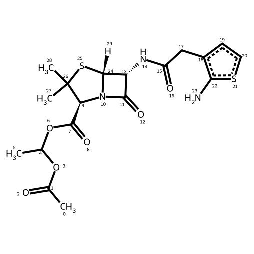 CC(=O)OC(C)OC(=O)[C@@H]1N2C(=O)[C@@H](NC(=O)Cc3ccsc3N)[C@H]2SC1(C)C